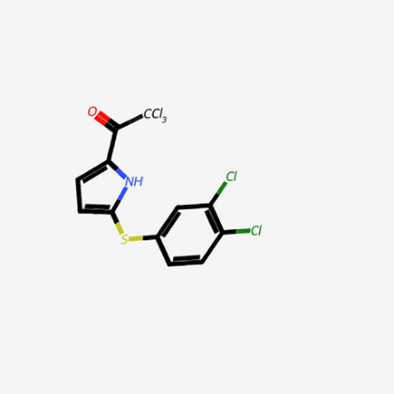 O=C(c1ccc(Sc2ccc(Cl)c(Cl)c2)[nH]1)C(Cl)(Cl)Cl